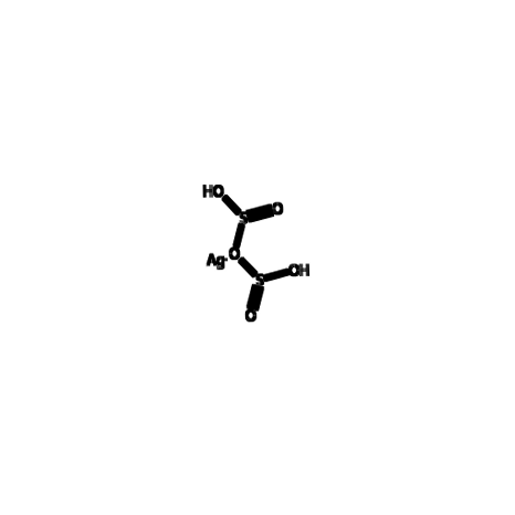 O=S(O)OS(=O)O.[Ag]